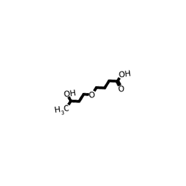 CC(O)CCOCCCC(=O)O